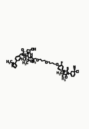 Cn1nccc1-c1ccc(CNC(=O)[C@@H]2C[C@@H](O)CN2C(=O)C(NC(=O)COCCCOCCCCOc2ccc(N3C(=S)N(C4=CC=CC(Cl)(C#N)C4)C(=O)C3(C)C)cc2F)C(C)(C)C)cc1